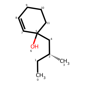 CC[C@@H](C)CC1(O)C=CCCC1